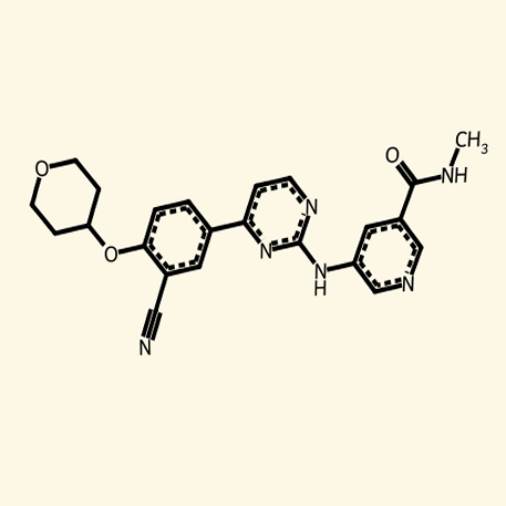 CNC(=O)c1cncc(Nc2nccc(-c3ccc(OC4CCOCC4)c(C#N)c3)n2)c1